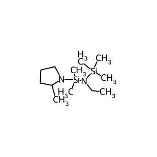 CCN([Si](C)(C)C)[Si](C)(C)N1CCCC1C